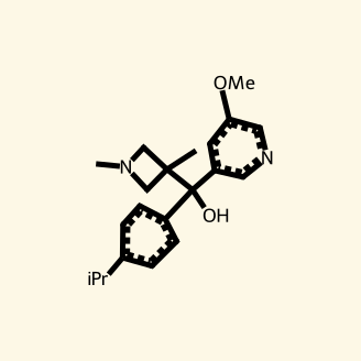 COc1cncc(C(O)(c2ccc(C(C)C)cc2)C2(C)CN(C)C2)c1